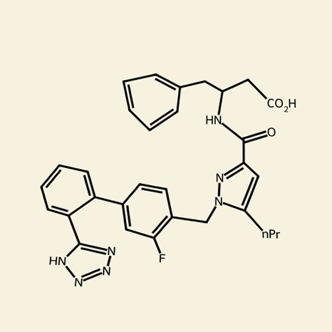 CCCc1cc(C(=O)NC(CC(=O)O)Cc2ccccc2)nn1Cc1ccc(-c2ccccc2-c2nnn[nH]2)cc1F